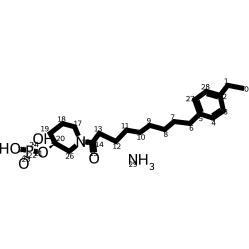 CCc1ccc(CCCCCCCCC(=O)N2CCC[C@@H](OP(=O)(O)O)C2)cc1.N